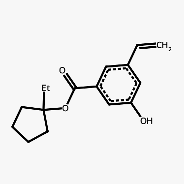 C=Cc1cc(O)cc(C(=O)OC2(CC)CCCC2)c1